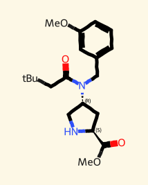 COC(=O)[C@@H]1C[C@@H](N(Cc2cccc(OC)c2)C(=O)CC(C)(C)C)CN1